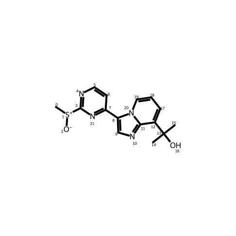 C[S+]([O-])c1nccc(-c2cnc3c(C(C)(C)O)cccn23)n1